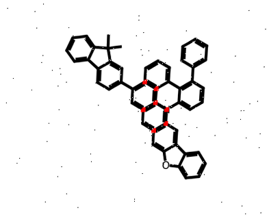 CC1(C)c2ccccc2-c2ccc(-c3ccc(N(c4ccc5oc6ccccc6c5c4)c4cccc(-c5ccccc5)c4-c4ccccc4-c4ccccc4)cc3)cc21